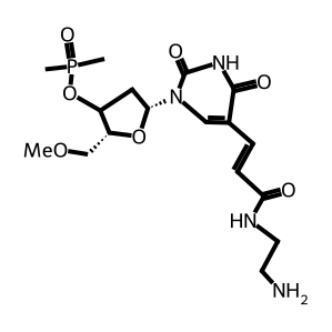 COC[C@H]1O[C@@H](n2cc(/C=C/C(=O)NCCN)c(=O)[nH]c2=O)CC1OP(C)(C)=O